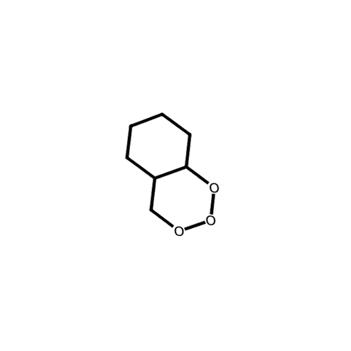 C1CCC2OOOCC2C1